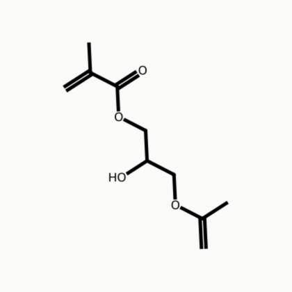 C=C(C)OCC(O)COC(=O)C(=C)C